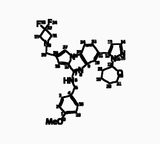 COc1ccc(CNc2nc3cc(-c4ccnn4C4CCCCO4)ccc3n3cc(CN4CC(F)(F)C4)cc23)cc1